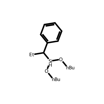 CCCCO[SiH](OCCCC)C(CC)c1ccccc1